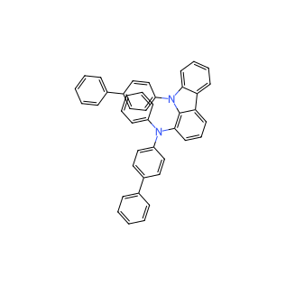 c1ccc(-c2ccc(N(c3ccccc3)c3cccc4c5ccccc5n(-c5ccc(-c6ccccc6)cc5)c34)cc2)cc1